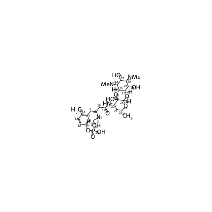 C=N/C(=C\c1cc(OP(=O)(O)O)ccc1C)CC(=O)N[C@@H]1C[C@@H](C)O[C@H]2O[C@@H]3[C@@H](O)[C@H](NC)[C@H](O)[C@H](NC)[C@H]3O[C@]21O